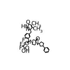 Cc1c(Cc2ccc(F)c(C(=O)N3CCN(C4CCC(c5ccccc5)C4)C(=O)C3)c2)n[nH]c(=O)c1C.O=C(O)C(F)(F)F